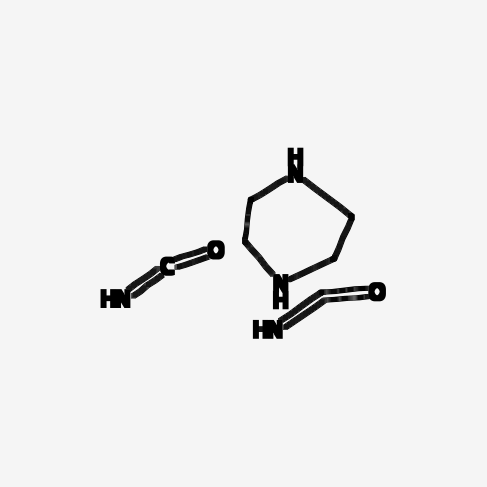 C1CNCCN1.N=C=O.N=C=O